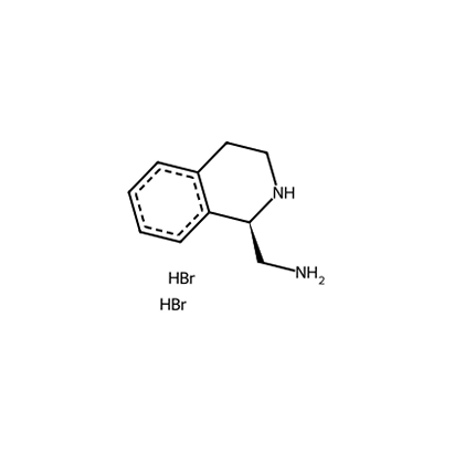 Br.Br.NC[C@@H]1NCCc2ccccc21